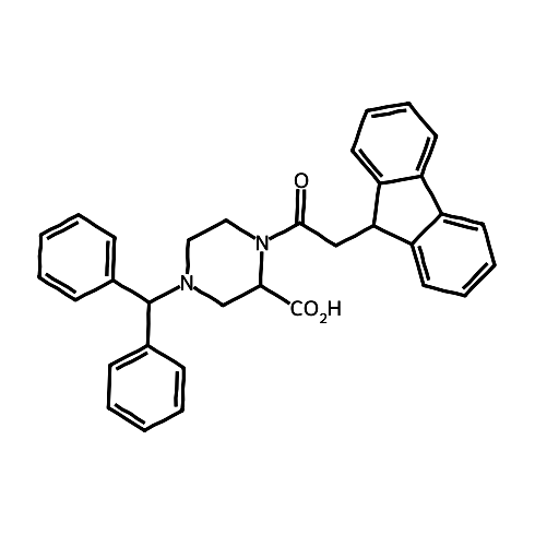 O=C(O)C1CN(C(c2ccccc2)c2ccccc2)CCN1C(=O)CC1c2ccccc2-c2ccccc21